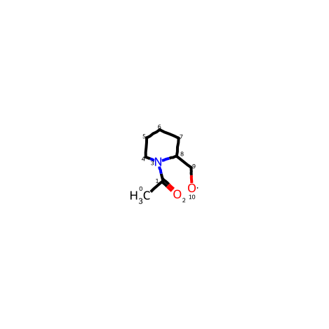 CC(=O)N1CCCCC1C[O]